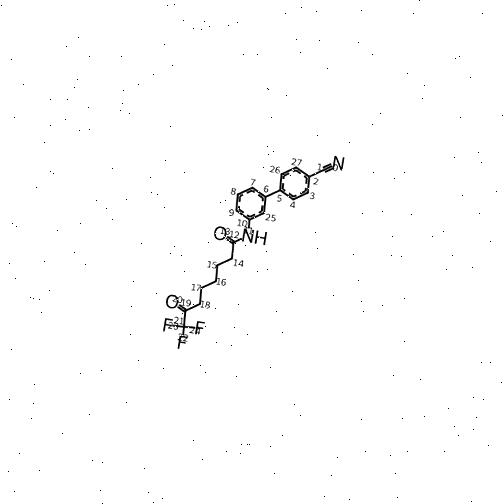 N#Cc1ccc(-c2cccc(NC(=O)CCCCCC(=O)C(F)(F)F)c2)cc1